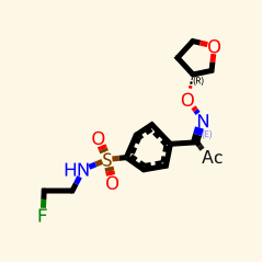 CC(=O)/C(=N/O[C@@H]1CCOC1)c1ccc(S(=O)(=O)NCCF)cc1